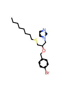 CCCCCCCCSCC(Cn1ccnc1)OCc1ccc(Br)cc1